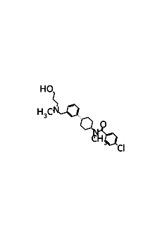 CN(CCCO)Cc1cccc([C@H]2CC[C@H](N(C)C(=O)c3ccc(Cl)cc3)CC2)c1